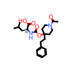 CC(=O)N1CCC(CCc2ccccc2)(OC(=O)N[C@@H](CC(C)C)C(=O)O)CC1